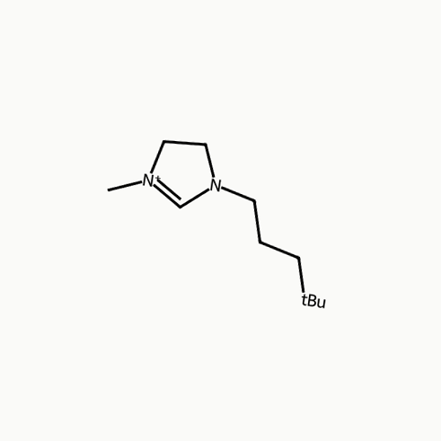 C[N+]1=CN(CCCC(C)(C)C)CC1